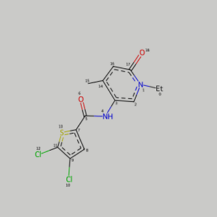 CCn1cc(NC(=O)c2cc(Cl)c(Cl)s2)c(C)cc1=O